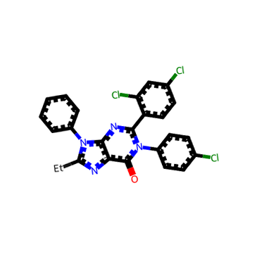 CCc1nc2c(=O)n(-c3ccc(Cl)cc3)c(-c3ccc(Cl)cc3Cl)nc2n1-c1ccccc1